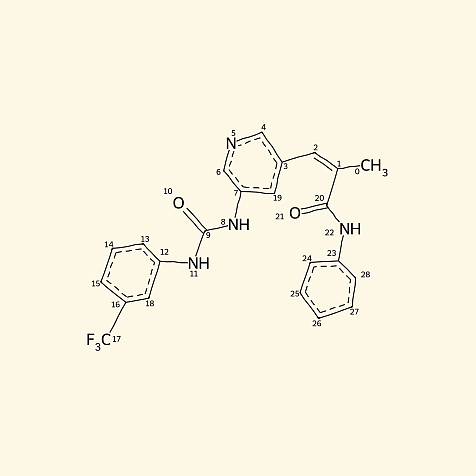 CC(=Cc1cncc(NC(=O)Nc2cccc(C(F)(F)F)c2)c1)C(=O)Nc1ccccc1